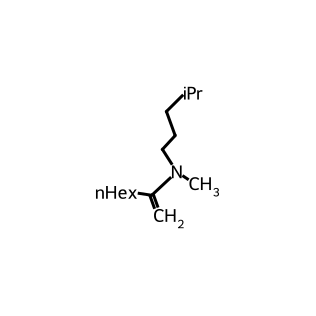 C=C(CCCCCC)N(C)CCCC(C)C